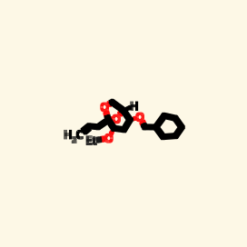 C=CCC12OC[C@@H](O1)[C@@H](OCC1CCCCC1)C[C@H]2OCC